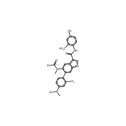 CCC(=O)N(C)c1cc2c(C(=O)Nc3ccc(C#N)cc3C(=O)O)noc2cc1-c1ccc(N(C)C(C)=O)cc1C(F)(F)F